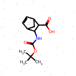 CC(C)(C)OC(=O)NC1C2C=CC(C2)C1C(=O)O